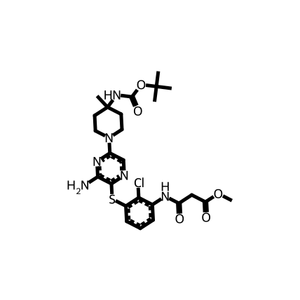 COC(=O)CC(=O)Nc1cccc(Sc2ncc(N3CCC(C)(NC(=O)OC(C)(C)C)CC3)nc2N)c1Cl